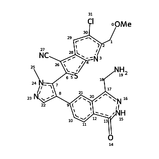 COCc1nc2sc(-c3c(-c4ccc5c(=O)[nH]nc(CN)c5c4)cnn3C)c(C#N)c2cc1Cl